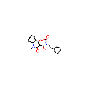 Cn1c(=O)c2c(=O)n(CCc3ccccc3)c(=O)oc2c2ccccc21